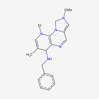 CCN1C=C(C)C(NCc2ccccc2)C2=C1N1CN(OC)C=C1C=N2